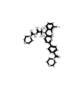 CC(C)(C(=O)NC(=O)N1CCOCC1)[C@@H]1c2ccc(-c3ccc(C(=O)N4CCOCC4)cc3)nc2Oc2c(F)cccc21